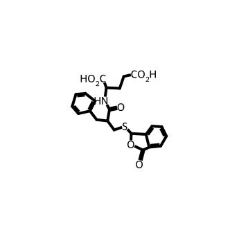 O=C(O)CCC(NC(=O)C(CSC1OC(=O)c2ccccc21)Cc1ccccc1)C(=O)O